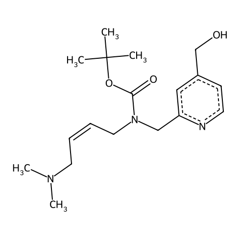 CN(C)C/C=C\CN(Cc1cc(CO)ccn1)C(=O)OC(C)(C)C